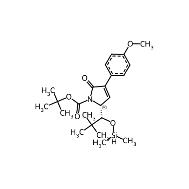 COc1ccc(C2=C[C@H](C(O[SiH](C)C)C(C)(C)C)N(C(=O)OC(C)(C)C)C2=O)cc1